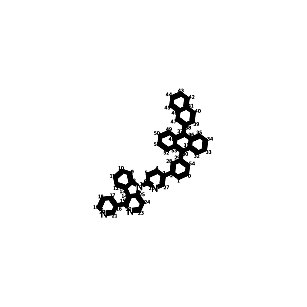 c1cc(-c2ccc(-n3c4ccccc4c4c(-c5cccnc5)nccc43)nc2)cc(-c2c3ccccc3c(-c3ccc4ccccc4c3)c3ccccc23)c1